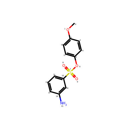 COc1ccc(OS(=O)(=O)c2cccc(N)c2)cc1